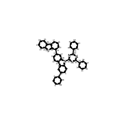 c1ccc(-c2ccc3c(c2)c2ccc(-c4cccc5c4sc4ccccc45)cc2n3-c2nc(-c3ccccc3)nc(-c3ccccc3)n2)cc1